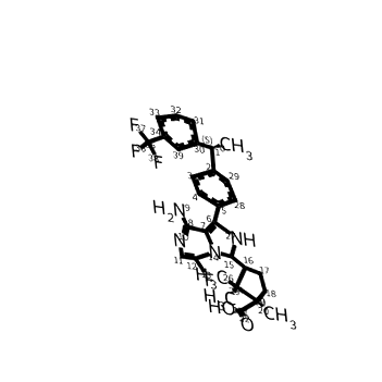 C[C@@H](c1ccc(C2=C3C(N)=NC=C(F)N3C(C3CC[C@](C)(C(=O)O)C3(C)C)N2)cc1)c1cccc(C(F)(F)F)c1